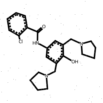 O=C(Nc1cc(CN2CCCC2)c(O)c(CN2CCCC2)c1)c1ccccc1Cl